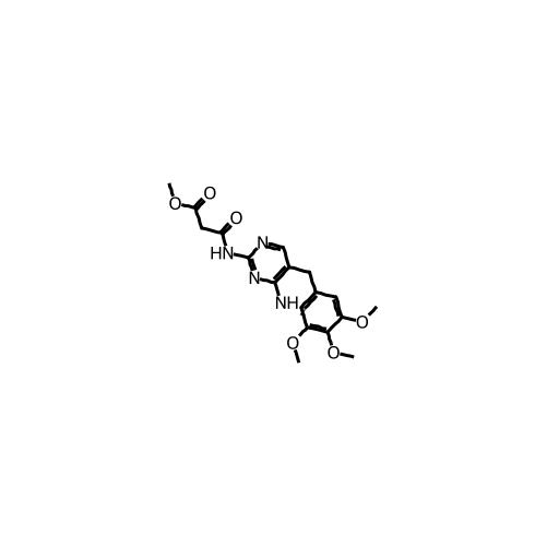 COC(=O)CC(=O)Nc1ncc(Cc2cc(OC)c(OC)c(OC)c2)c(N)n1